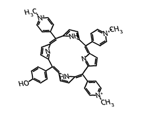 C[n+]1ccc(-c2c3nc(c(-c4cc[n+](C)cc4)c4ccc([nH]4)c(-c4cc[n+](C)cc4)c4nc(c(-c5ccc(O)cc5)c5ccc2[nH]5)C=C4)C=C3)cc1